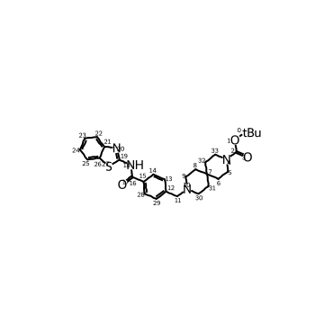 CC(C)(C)OC(=O)N1CCC2(CCN(Cc3ccc(C(=O)Nc4nc5ccccc5s4)cc3)CC2)CC1